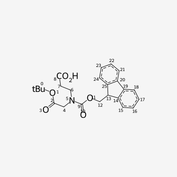 CC(C)(C)OC(=O)CN(CCC(=O)O)C(=O)OCC1c2ccccc2-c2ccccc21